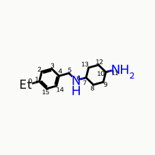 CCc1ccc(CNC2CCC(N)CC2)cc1